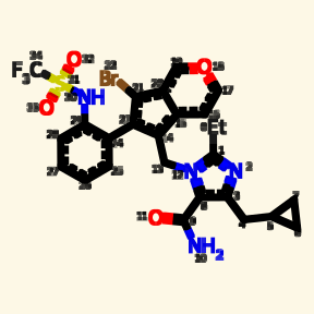 CCc1nc(CC2CC2)c(C(N)=O)n1Cc1c2ccocc-2c(Br)c1-c1ccccc1NS(=O)(=O)C(F)(F)F